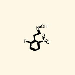 O=[N+]([O-])c1cccc(F)c1CC=NO